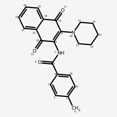 Cc1ccc(C(=O)NC2=C(N3CCCCC3)C(=O)c3ccccc3C2=O)cc1